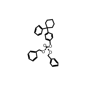 O=P(OCc1ccccc1)(OCc1ccccc1)Oc1ccc(C2(c3ccccc3)CCCCC2)cc1